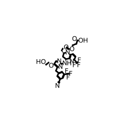 CC[C@@H]1C[C@H](Nc2ncc(OCCO)c(Cc3cc(C#N)cc(C(F)(F)F)c3)n2)c2nc(C(F)(F)F)ccc2N1C(=O)OCCC(=O)O